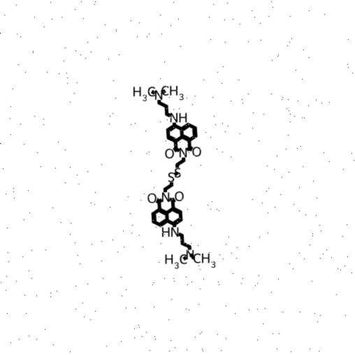 CN(C)CCCNc1ccc2c3c(cccc13)C(=O)N(CCSSCCN1C(=O)c3cccc4c(NCCCN(C)C)ccc(c34)C1=O)C2=O